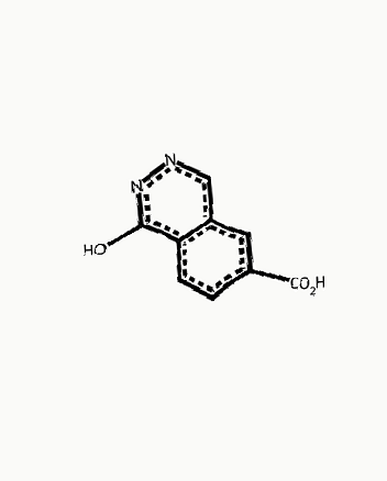 O=C(O)c1ccc2c(O)nncc2c1